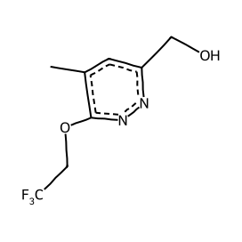 Cc1cc(CO)nnc1OCC(F)(F)F